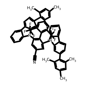 Cc1cc(C)c(-c2ccc3c4ccccc4n(-c4cc(C#N)cc(-n5c6ccccc6c6ccc(-c7c(C)cc(C)cc7C)cc65)c4-c4c(C(F)(F)F)cccc4C(F)(F)F)c3c2)c(C)c1